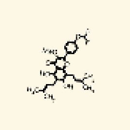 COc1c(-c2ccc(OC(F)F)cc2)oc2c(CC=C(C)C)c(O)c(CC=C(C)C)c(O)c2c1=O